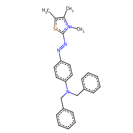 Cc1sc(N=Nc2ccc(N(Cc3ccccc3)Cc3ccccc3)cc2)[n+](C)c1C